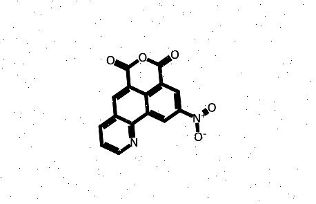 O=C1OC(=O)c2cc3cccnc3c3cc([N+](=O)[O-])cc1c23